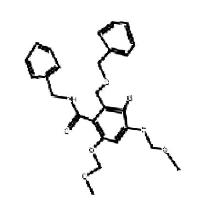 COCOc1cc(OCOC)c(C(=O)NCc2ccccc2)c(COCc2ccccc2)c1Cl